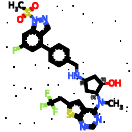 CN(c1ncnc2sc(CC(F)(F)F)cc12)[C@H]1C[C@@H](NCc2ccc(-c3cc(F)cc4c3cnn4S(C)(=O)=O)cc2)C[C@H]1O